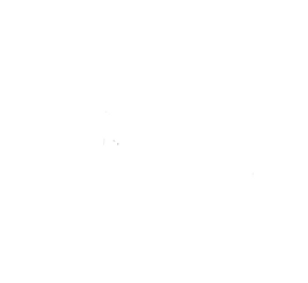 O=C(CCBr)Nc1ccc(S(=O)(=O)O)cc1